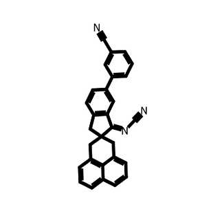 N#CN=C1c2cc(-c3cccc(C#N)c3)ccc2CC12Cc1cccc3cccc(c13)C2